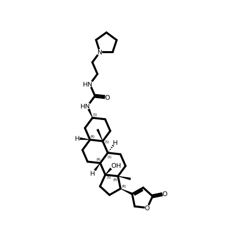 C[C@]12CC[C@H](NC(=O)NCCN3CCCC3)C[C@H]1CC[C@@H]1[C@@H]2CC[C@]2(C)[C@@H](C3=CC(=O)OC3)CC[C@]12O